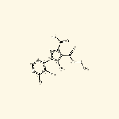 CCOC(=O)c1c(C(C)=O)nn(-c2cccc(Cl)c2F)c1C